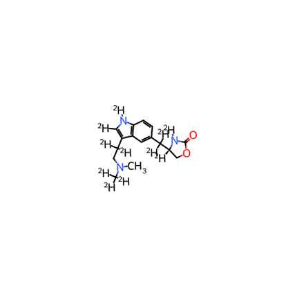 [2H]c1c(C([2H])([2H])CN(C)C([2H])([2H])[2H])c2cc(C([2H])([2H])[C@@]3([2H])COC(=O)N3[2H])ccc2n1[2H]